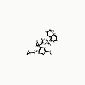 CCc1cnc(OCC2CC2)c(C2(C(=O)NS(=O)(=O)c3cccc4ncccc34)CC2)c1